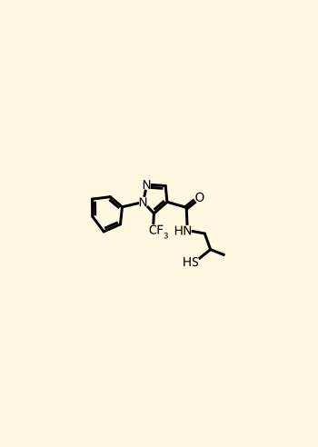 CC(S)CNC(=O)c1cnn(-c2ccccc2)c1C(F)(F)F